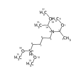 COC(C)N(CCCC[SiH](OC)OC)C(C)OC